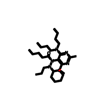 CCCCC(=O)N(c1c(SC)nc(C)nc1N(CCCC)CCCC)N(CCC)C1CCCCC1